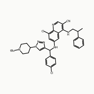 CC(CNc1c(C#N)cnc2c(Cl)cc(NC(c3ccc(Cl)cc3)c3cn(C4CCN(C(C)(C)C)CC4)nn3)cc12)c1ccccc1